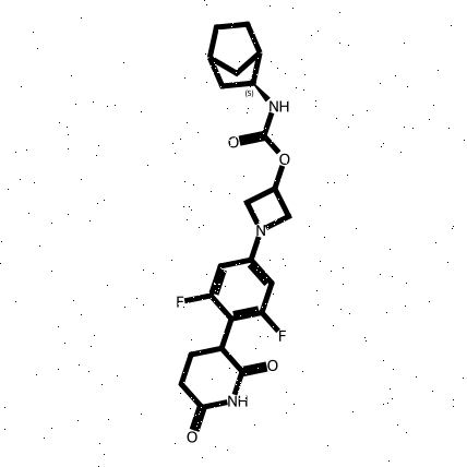 O=C1CCC(c2c(F)cc(N3CC(OC(=O)N[C@H]4CC5CCC4C5)C3)cc2F)C(=O)N1